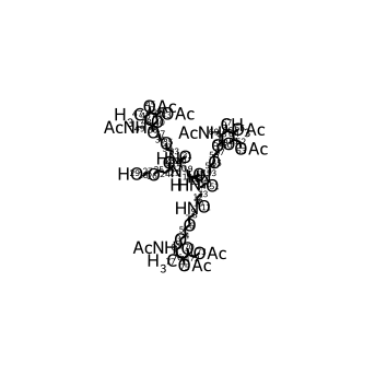 CC(=O)NC1C(OCCOCCNC(=O)CC[C@H](NC(=O)CC[C@H](NC(=O)CCOCCO)C(=O)NCCOCCOC2OC(COC(C)=O)C(OC(C)=O)C(C)C2NC(C)=O)C(=O)NCCOCCOC2OC(COC(C)=O)C(OC(C)=O)C(C)C2NC(C)=O)OC(COC(C)=O)C(OC(C)=O)C1C